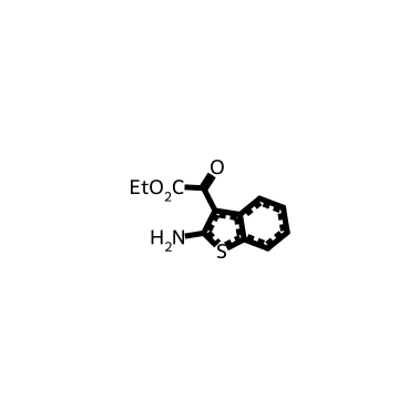 CCOC(=O)C(=O)c1c(N)sc2ccccc12